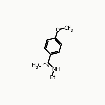 CCN[C@H](C)c1ccc(OC(F)(F)F)cc1